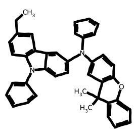 CCc1ccc2c(c1)c1cc(N(c3ccccc3)c3ccc4c(c3)C(C)(C)c3ccccc3O4)ccc1n2-c1ccccc1